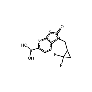 O=c1sc2nc(B(O)O)ccc2n1CC1CC1(F)F